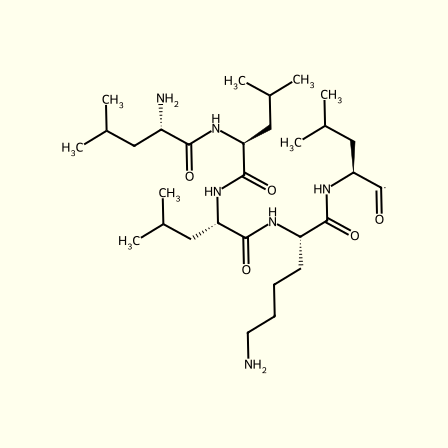 CC(C)C[C@@H]([C]=O)NC(=O)[C@H](CCCCN)NC(=O)[C@H](CC(C)C)NC(=O)[C@H](CC(C)C)NC(=O)[C@@H](N)CC(C)C